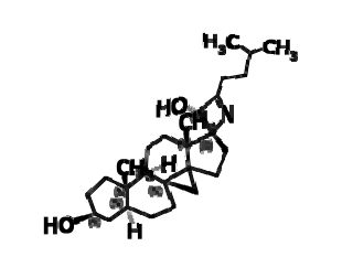 CC(C)CCC1=N[C@@]2(CCC34C[C@]35CC[C@H]3C[C@@H](O)CC[C@]3(C)[C@H]5CC[C@@]42C)[C@@H]1O